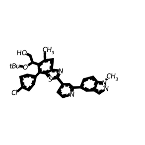 Cc1cc2nc(-c3ccnc(-c4ccc5c(cnn5C)c4)c3)sc2c(-c2ccc(Cl)cc2)c1C(CO)OC(C)(C)C